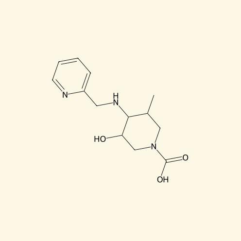 CC1CN(C(=O)O)CC(O)C1NCc1ccccn1